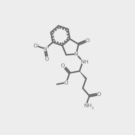 COC(=O)[C@H](CCC(N)=O)NN1Cc2c(cccc2[N+](=O)[O-])C1=O